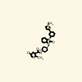 Cc1ncc(Cl)cc1C(=O)N[C@H]1CC[C@H](Cn2c(=O)n(-c3cccc(-c4ccn(C)n4)c3)c3ccccc32)CC1